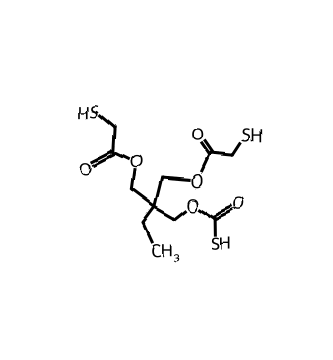 CCC(COC(=O)S)(COC(=O)CS)COC(=O)CS